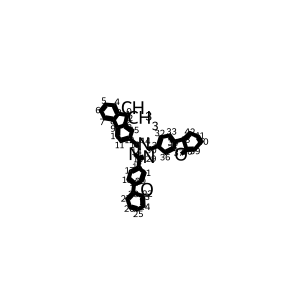 CC1(C)c2ccccc2-c2ccc(-c3nc(-c4ccc5c(c4)oc4ccccc45)nc(-c4ccc5c(c4)oc4ccccc45)n3)cc21